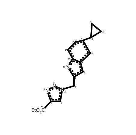 CCOC(=O)c1cn(Cc2cc3cc(C4CC4)ccc3s2)nn1